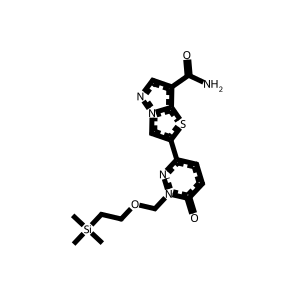 C[Si](C)(C)CCOCn1nc(-c2cn3ncc(C(N)=O)c3s2)ccc1=O